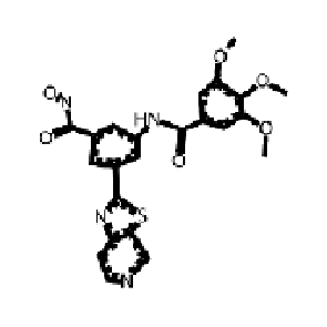 COc1cc(C(=O)Nc2cc(C(=O)N=O)cc(-c3nc4ccncc4s3)c2)cc(OC)c1OC